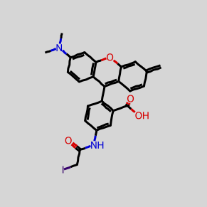 C=c1ccc2c(c1)Oc1cc(N(C)C)ccc1C=2c1ccc(NC(=O)CI)cc1C(=O)O